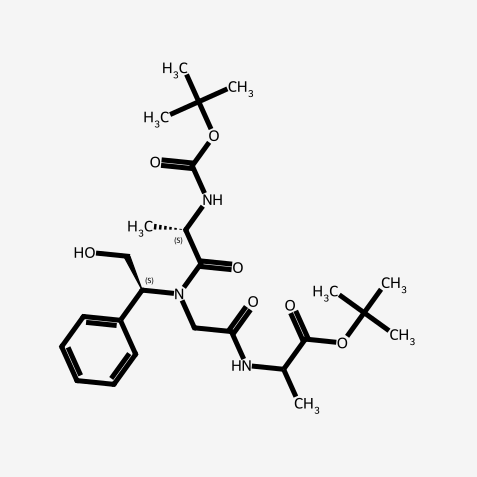 CC(NC(=O)CN(C(=O)[C@H](C)NC(=O)OC(C)(C)C)[C@H](CO)c1ccccc1)C(=O)OC(C)(C)C